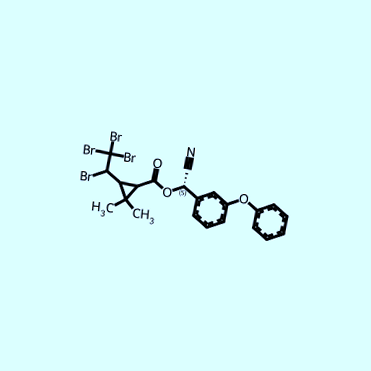 CC1(C)C(C(=O)O[C@H](C#N)c2cccc(Oc3ccccc3)c2)C1C(Br)C(Br)(Br)Br